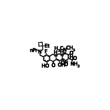 CCCN(Cc1cc(O)c2c(c1F)C[C@H]1C[C@H]3[C@H](N(C)C)C(O)=C(C(N)=O)C(=O)[C@@]3(O)C(O)=C1C2=O)CC1(CC)CCC1